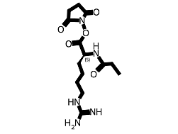 CCC(=O)N[C@@H](CCCCNC(=N)N)C(=O)ON1C(=O)CCC1=O